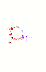 COCCOCCOCCNC(=O)CO/N=C1\[C@H](C)C[C@H](C)/C=C/C=C/C=C(\C)[C@@H](OC)C[C@@H]2CC[C@@H](C)[C@@](O)(O2)C(=O)C(=O)N2CCCC[C@H]2C(=O)O[C@H]([C@H](C)C[C@@H]2CC[C@@H](O)[C@H](OC)C2)C[C@@H](O)[C@H](C)/C=C(\C)[C@@H](O)[C@H]1OC